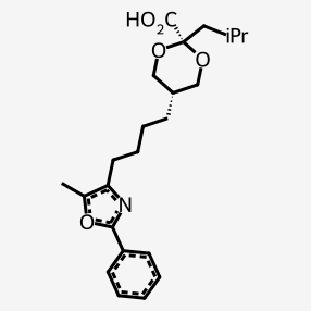 Cc1oc(-c2ccccc2)nc1CCCC[C@H]1CO[C@@](CC(C)C)(C(=O)O)OC1